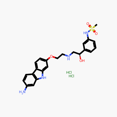 CS(=O)(=O)Nc1cccc([C@@H](O)CNCCOc2ccc3c(c2)[nH]c2cc(N)ccc23)c1.Cl.Cl